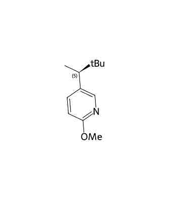 COc1ccc([C@@H](C)C(C)(C)C)cn1